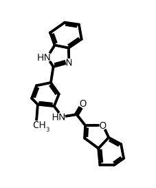 Cc1ccc(-c2nc3ccccc3[nH]2)cc1NC(=O)c1cc2ccccc2o1